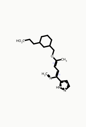 C=N/C(=C\C=C(/C)OCC1CCCC(CCC(=O)O)C1)c1ccn[nH]1